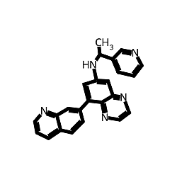 CC(Nc1cc(-c2ccc3cccnc3c2)c2nccnc2c1)c1cccnc1